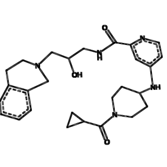 O=C(NCC(O)CN1CCc2ccccc2C1)c1cc(NC2CCN(C(=O)C3CC3)CC2)ccn1